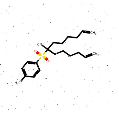 [C-]#[N+]C(CCCCC=C)(CCCCC=C)S(=O)(=O)c1ccc(C)cc1